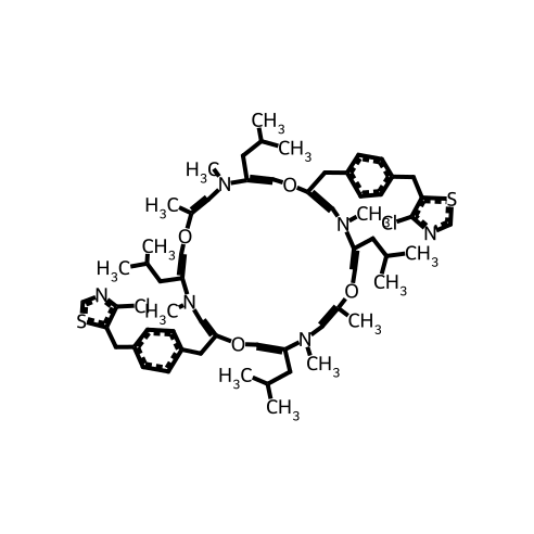 CC1=CN(C)C(CC(C)C)=COC(Cc2ccc(Cc3scnc3Cl)cc2)=CN(C)C(CC(C)C)=COC(C)=CN(C)C(CC(C)C)=COC(Cc2ccc(Cc3scnc3Cl)cc2)=CN(C)C(CC(C)C)=CO1